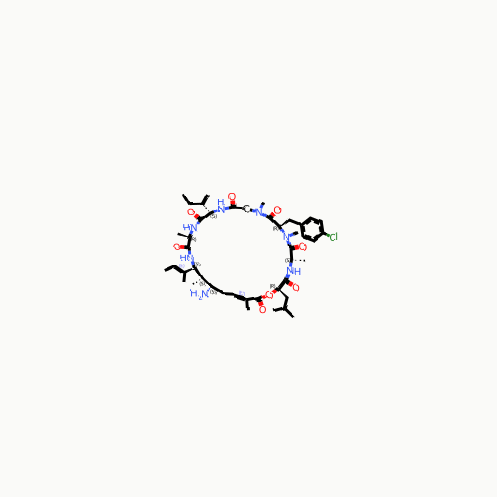 C/C=C(\C)[C@H]1NC(=O)[C@@H](C)NC(=O)[C@H](C(C)CC)NC(=O)CN(C)C(=O)[C@@H](Cc2ccc(Cl)cc2)N(C)C(=O)[C@H](C)NC(=O)[C@@H](CC(C)C)OC(=O)/C(C)=C/C[C@H](N)[C@@H]1C